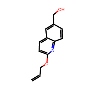 C=CCOc1ccc2cc(CO)ccc2n1